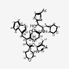 CC(=O)c1cnc([C@H](O)[C@H](CC2CCCCC2)NC(=O)[C@H](Cc2c[nH]cn2)NC(=O)[C@@H](CC(=O)N2CCOCC2)Cc2csc3ccccc23)s1